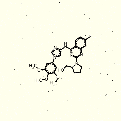 COc1cc(-n2cnc(Nc3nc(N4CCCC4CO)nc4cc(F)ccc34)c2)cc(OC)c1OC